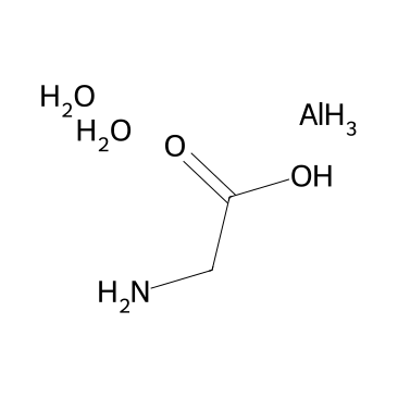 NCC(=O)O.O.O.[AlH3]